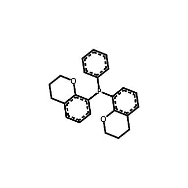 c1ccc(P(c2cccc3c2OCCC3)c2cccc3c2OCCC3)cc1